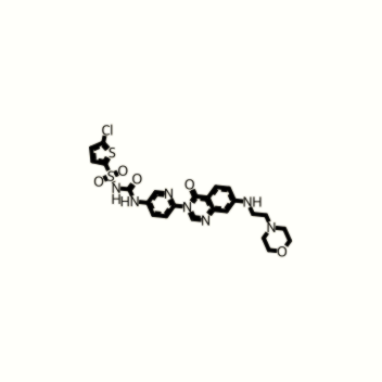 O=C(Nc1ccc(-n2cnc3cc(NCCN4CCOCC4)ccc3c2=O)nc1)NS(=O)(=O)c1ccc(Cl)s1